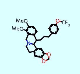 COc1ccc2c(c1OC)CN1CCc3cc4c(cc3C1C2CCCc1ccc(OC(F)(F)F)cc1)OCO4